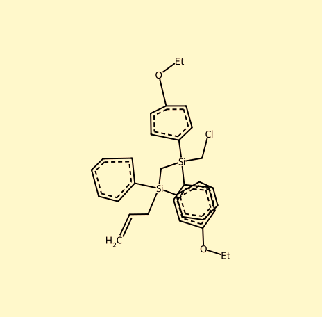 C=CC[Si](C[Si](CCl)(c1ccc(OCC)cc1)c1ccc(OCC)cc1)(c1ccccc1)c1ccccc1